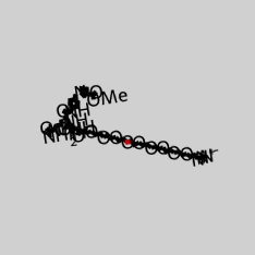 COC(=O)c1ccn(Cc2ccc(NC(=O)[C@H](CCCNC(N)=O)NC(=O)[C@@H](NC(=O)CCOCCOCCOCCOCCOCCOCCOCCOCCOCCN=[N+]=[N-])C(C)C)cc2)c1